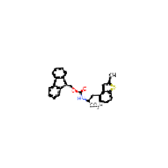 N#Cc1cc2c(C[C@H](NC(=O)OCC3c4ccccc4-c4ccccc43)C(=O)O)cccc2s1